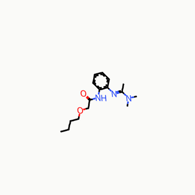 CCCCOCC(=O)Nc1ccccc1/N=C(\C)N(C)C